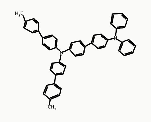 Cc1ccc(-c2ccc(N(c3ccc(-c4ccc(C)cc4)cc3)c3ccc(-c4ccc(N(c5ccccc5)c5ccccc5)cc4)cc3)cc2)cc1